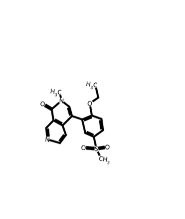 CCOc1ccc(S(C)(=O)=O)cc1-c1cn(C)c(=O)c2cnccc12